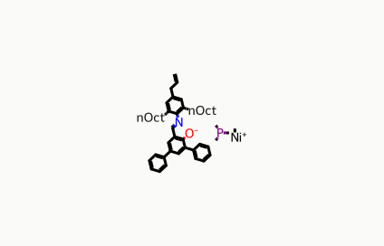 C=CCc1cc(CCCCCCCC)c(N=Cc2cc(-c3ccccc3)cc(-c3ccccc3)c2[O-])c(CCCCCCCC)c1.CP(C)C.[CH3][Ni+]